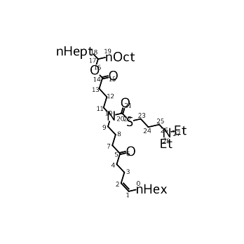 CCCCCC/C=C\CCC(=O)CCCN(CCCC(=O)OC(CCCCCCC)CCCCCCCC)C(=O)SCCCN(CC)CC